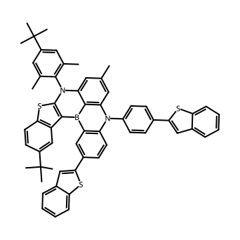 Cc1cc2c3c(c1)N(c1c(C)cc(C(C)(C)C)cc1C)c1sc4ccc(C(C)(C)C)cc4c1B3c1cc(-c3cc4ccccc4s3)ccc1N2c1ccc(-c2cc3ccccc3s2)cc1